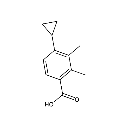 Cc1c(C(=O)O)ccc(C2CC2)c1C